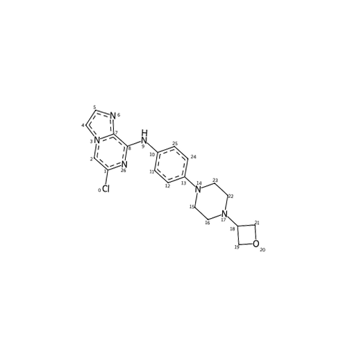 Clc1cn2ccnc2c(Nc2ccc(N3CCN(C4COC4)CC3)cc2)n1